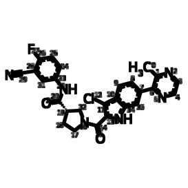 Cc1nccnc1-c1ccc2c(Cl)c(C(=O)N3CC[C@H](C(=O)Nc4ccc(F)c(C#N)c4)C3)[nH]c2c1